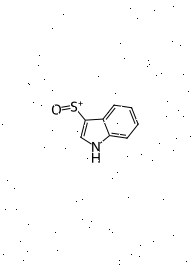 O=[S+]c1c[nH]c2ccccc12